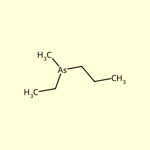 CCC[As](C)CC